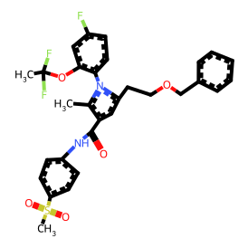 Cc1c(C(=O)Nc2ccc(S(C)(=O)=O)cc2)cc(CCOCc2ccccc2)n1-c1ccc(F)cc1OC(C)(F)F